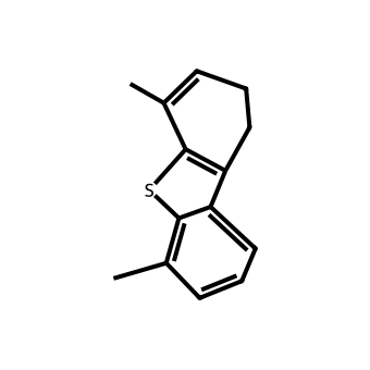 CC1=CCCc2c1sc1c(C)cccc21